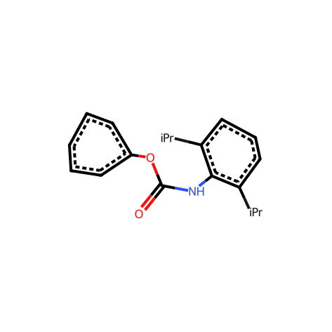 CC(C)c1cccc(C(C)C)c1NC(=O)Oc1ccccc1